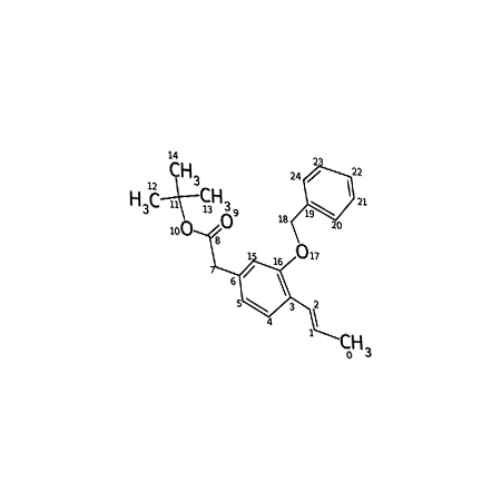 CC=Cc1ccc(CC(=O)OC(C)(C)C)cc1OCc1ccccc1